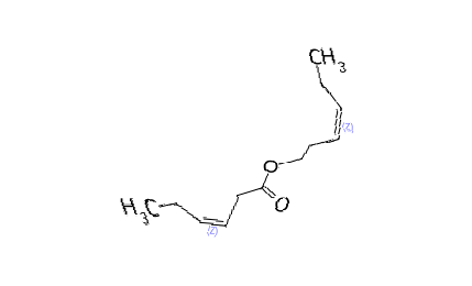 CC/C=C\CCOC(=O)C/C=C\CC